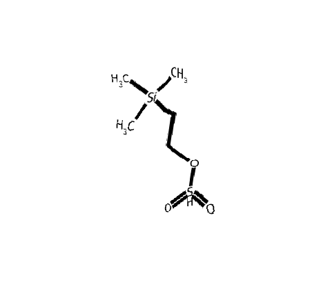 C[Si](C)(C)CCO[SH](=O)=O